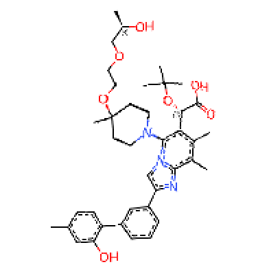 Cc1ccc(-c2cccc(-c3cn4c(N5CCC(C)(OCCOC[C@@H](C)O)CC5)c([C@H](OC(C)(C)C)C(=O)O)c(C)c(C)c4n3)c2)c(O)c1